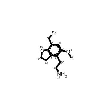 COc1cc(CF)c2c(c1CCN)CCO2